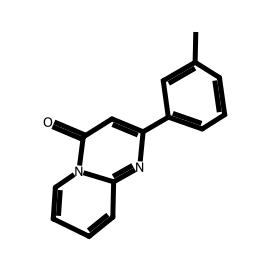 Cc1cccc(-c2cc(=O)n3ccccc3n2)c1